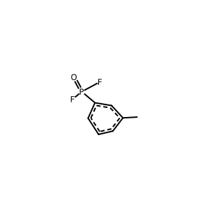 Cc1cccc(P(=O)(F)F)c1